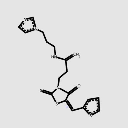 C=C(CCN1C(=O)/C(=C\c2cccs2)SC1=S)NCCCn1ccnc1